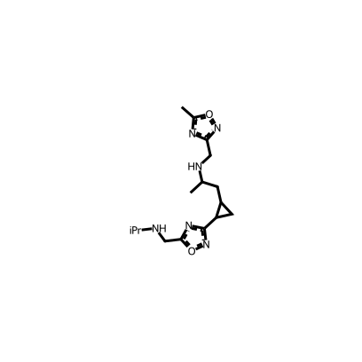 Cc1nc(CNC(C)CC2CC2c2noc(CNC(C)C)n2)no1